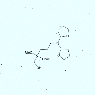 CO[Si](CO)(CCCN(C1CCCO1)C1CCCO1)OC